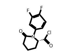 O=C(Cl)[C@@H]1CCCC(=O)N1c1ccc(F)c(F)c1